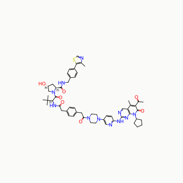 CC(=O)c1c(C)c2cnc(Nc3ccc(N4CCN(C(=O)Cc5ccc(CC(=O)N[C@H](C(=O)N6C[C@H](O)C[C@H]6C(=O)NCc6ccc(-c7scnc7C)cc6)C(C)(C)C)cc5)CC4)cn3)nc2n(C2CCCC2)c1=O